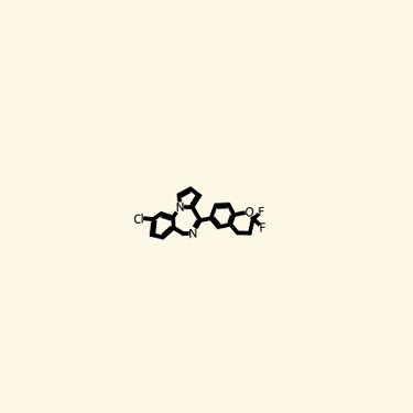 FC1(F)CCc2cc(C3=NCc4ccc(Cl)cc4-n4cccc43)ccc2O1